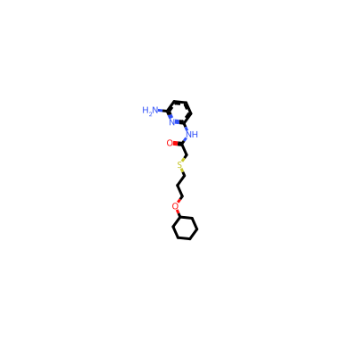 Nc1cccc(NC(=O)CSCCCOC2CCCCC2)n1